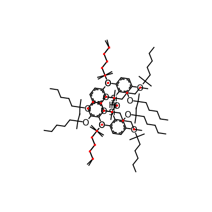 CCCCCC(C)(C)Oc1ccc(OC(C)(C)CCCCC)c([SiH](O[SiH](c2c(OC(C)(C)CCCCC)ccc(OC(C)(C)CCCCC)c2OC(C)(C)CCCCC)c2c(OC(C)(C)CCCCC)ccc(OC(C)(C)CCCCC)c2OC(C)(C)CCCCC)c2c(OC(C)(C)CCCCC)ccc(OC(C)(C)CCCCC)c2OC(C)(C)CCCCC)c1OC(C)(C)CCCCC